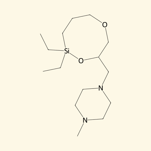 CC[Si]1(CC)CCCOCC(CN2CCN(C)CC2)O1